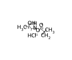 C=C(C)C(=O)ONCC(C)O.Cl